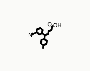 Cc1ccc(C(=CC=CC(=O)O)c2cccc(C#N)c2)cc1